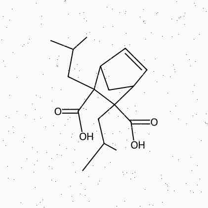 CC(C)CC1(C(=O)O)C2C=CC(C2)C1(CC(C)C)C(=O)O